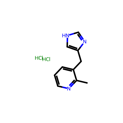 Cc1ncccc1Cc1c[nH]cn1.Cl.Cl